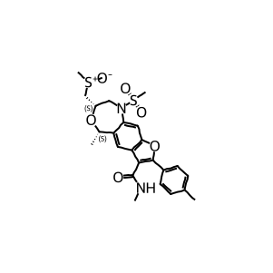 CNC(=O)c1c(-c2ccc(C)cc2)oc2cc3c(cc12)[C@H](C)O[C@H](C[S+](C)[O-])CN3S(C)(=O)=O